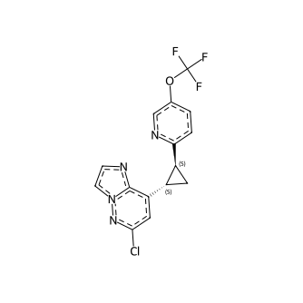 FC(F)(F)Oc1ccc([C@H]2C[C@@H]2c2cc(Cl)nn3ccnc23)nc1